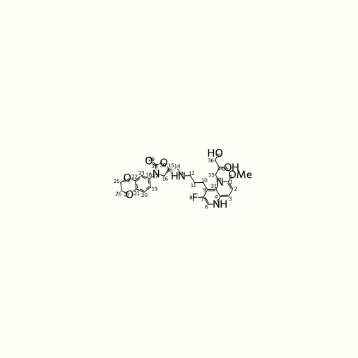 COC1=CC=C2NC=C(F)C(CCCNC[C@@H]3CN(c4ccc5c(c4)OCCO5)C(=O)O3)=C2N1CC(O)CO